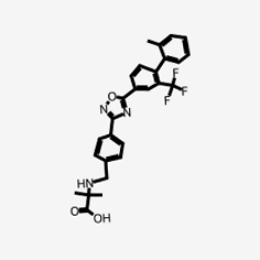 Cc1ccccc1-c1ccc(-c2nc(-c3ccc(CNC(C)(C)C(=O)O)cc3)no2)cc1C(F)(F)F